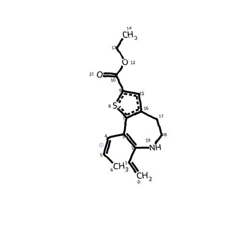 C=CC1=C(/C=C\C)c2sc(C(=O)OCC)cc2CCN1